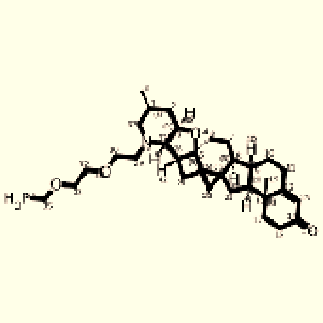 C[C@H]1C[C@H]2O[C@@]34CC[C@H]5[C@@H]6CCC7=CC(=O)CC[C@]7(C)[C@H]6CC56CC63C[C@@H]4[C@@H]2N(CCOCCOCP)C1